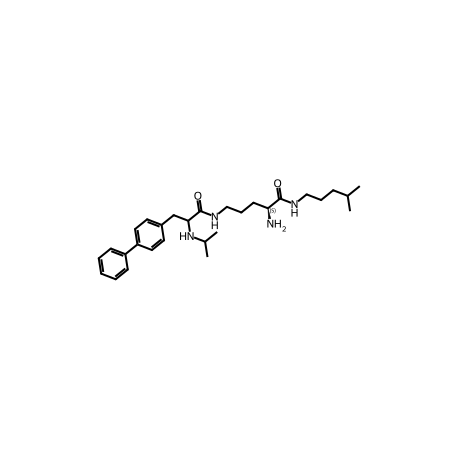 CC(C)CCCNC(=O)[C@@H](N)CCCNC(=O)C(Cc1ccc(-c2ccccc2)cc1)NC(C)C